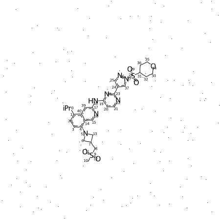 CC(C)c1ccc(N2CC(CS(C)(=O)=O)C2)c2cnc(Nc3ccnc(-c4cnn(S(=O)(=O)C5CCOCC5)c4)n3)cc12